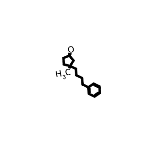 CC1(CCCCc2ccccc2)CCC(=O)C1